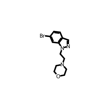 Brc1ccc2cnn(CCN3CCOCC3)c2c1